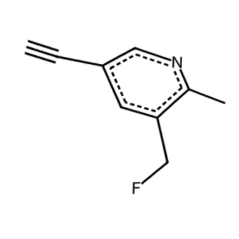 C#Cc1cnc(C)c(CF)c1